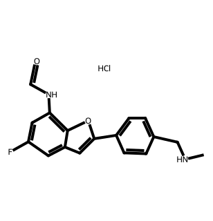 CNCc1ccc(-c2cc3cc(F)cc(NC=O)c3o2)cc1.Cl